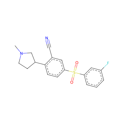 CN1CCC(c2ccc(S(=O)(=O)c3cccc(F)c3)cc2C#N)C1